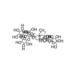 C=CC[C@@]12CC[C@H]3[C@@](C)(CCC[C@@]3(C)C(=O)O[C@@H]3OC(CO)[C@@H](O)C(O)C3O)[C@@H]1CCC(C)(OC1OC(CO)C(O)C(OC3OC(CO)C(O)C(O)C3O)C1OC1OC(CO)C(O)C(O)C1O)C2